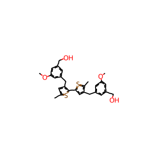 COc1cc(CO)cc(Cc2cc(-c3sc(C)cc3Cc3cc(CO)cc(OC)c3)sc2C)c1